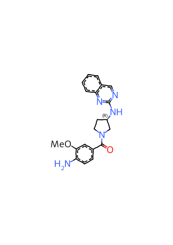 COc1cc(C(=O)N2CC[C@@H](Nc3ncc4ccccc4n3)C2)ccc1N